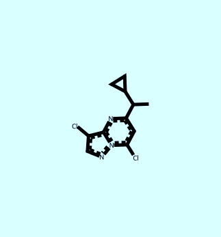 CC(c1cc(Cl)n2ncc(Cl)c2n1)C1CC1